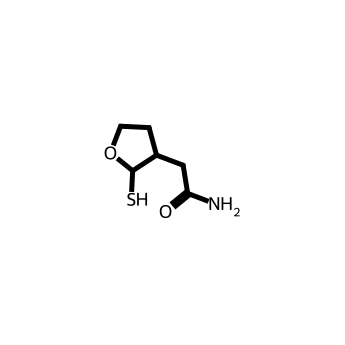 NC(=O)CC1CCOC1S